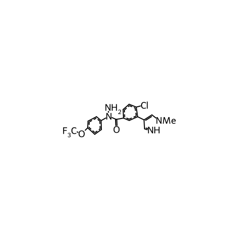 CN/C=C(\C=N)c1cc(C(=O)N(N)c2ccc(OC(F)(F)F)cc2)ccc1Cl